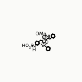 COC(=O)NC(Cc1ccccc1)C(=O)NC(Cc1ccc(NS(=O)(=O)O)cc1)c1nc(-c2ccccc2)cs1